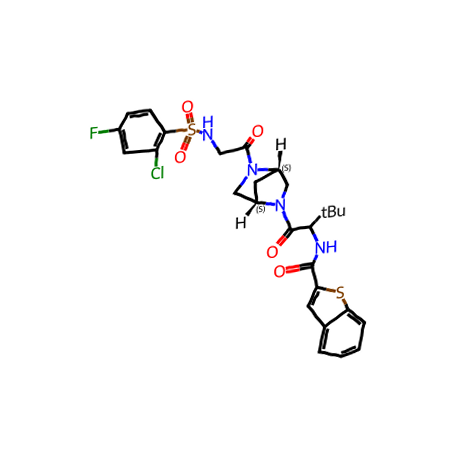 CC(C)(C)C(NC(=O)c1cc2ccccc2s1)C(=O)N1C[C@@H]2C[C@H]1CN2C(=O)CNS(=O)(=O)c1ccc(F)cc1Cl